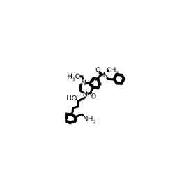 CCN1CCN(C[C@@H](O)CCc2ccccc2CN)C(=O)c2ccc(C(=O)N(C)Cc3ccccc3)cc21